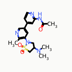 CC(=O)Nc1cc(-c2cnc(C)c(N3CC(N(C)C)CS3(=O)=O)c2)ccn1